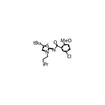 COc1ccc(Cl)cc1C(=O)/N=c1\sc(C(C)(C)C)cn1CCC(C)C